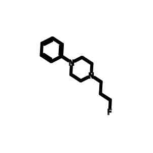 FCCCN1CCN(c2ccccc2)CC1